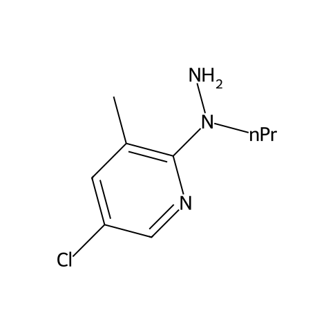 CCCN(N)c1ncc(Cl)cc1C